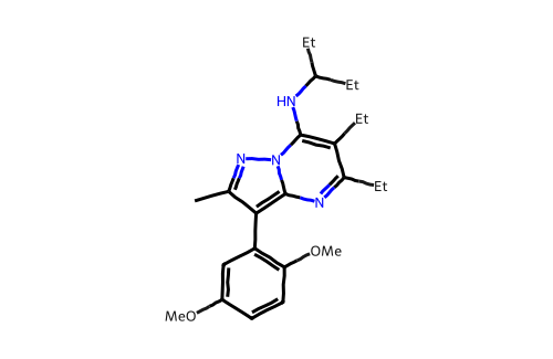 CCc1nc2c(-c3cc(OC)ccc3OC)c(C)nn2c(NC(CC)CC)c1CC